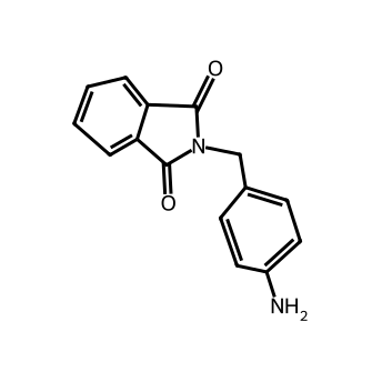 Nc1ccc(CN2C(=O)c3ccccc3C2=O)cc1